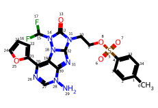 Cc1ccc(S(=O)(=O)OCCN2C(=O)N(C(F)F)N3C4=C(c5ccco5)N=CN(N)C4=NC23)cc1